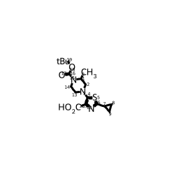 CC1CN(c2sc(C3CC3)nc2C(=O)O)CCN1C(=O)OC(C)(C)C